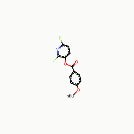 CCCCOc1ccc(C(=O)Oc2ccc(F)nc2F)cc1